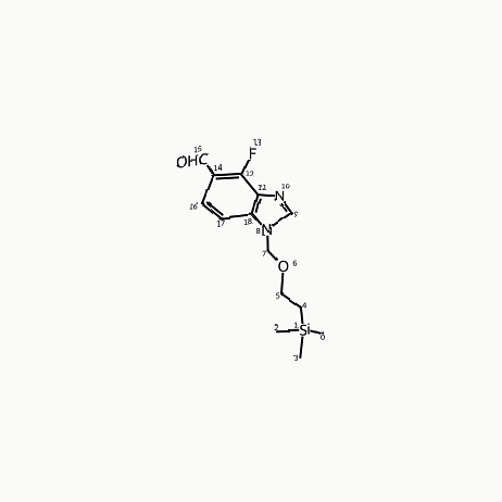 C[Si](C)(C)CCOCn1cnc2c(F)c(C=O)ccc21